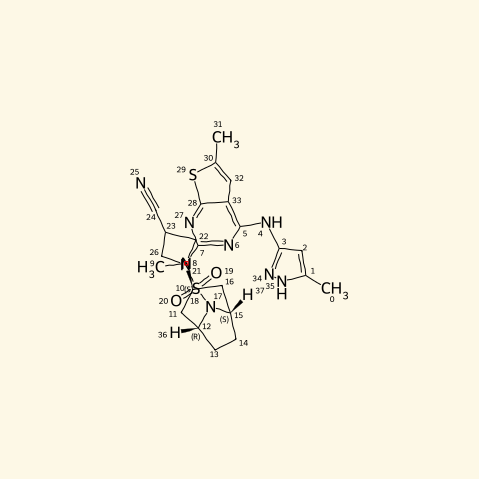 Cc1cc(Nc2nc(N(C)[C@@H]3C[C@H]4CC[C@@H](C3)N4S(=O)(=O)N3CC(C#N)C3)nc3sc(C)cc23)n[nH]1